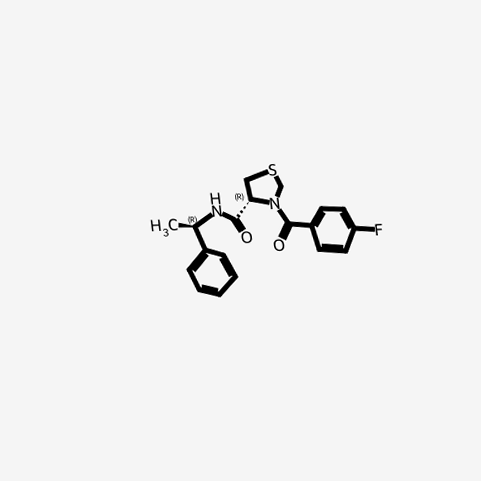 C[C@@H](NC(=O)[C@@H]1CSCN1C(=O)c1ccc(F)cc1)c1ccccc1